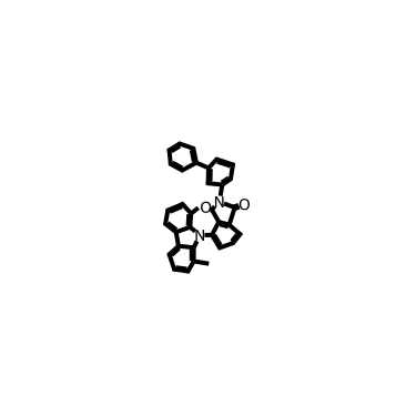 Cc1cccc2c3cccc(C)c3n(-c3cccc4c3C(=O)N(c3cccc(-c5ccccc5)c3)C4=O)c12